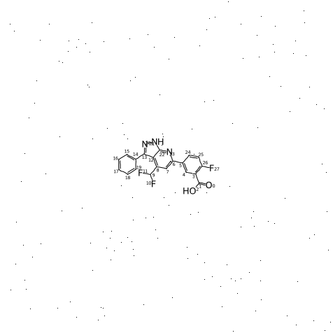 O=C(O)c1cc(-c2cc(C(F)F)c3c(-c4ccccc4)n[nH]c3n2)ccc1F